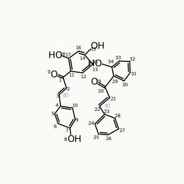 O=C(/C=C/c1ccc(O)cc1)c1ccc(O)cc1O.O=C(/C=C/c1ccccc1)c1ccccc1O